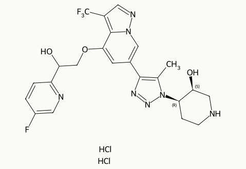 Cc1c(-c2cc(OCC(O)c3ccc(F)cn3)c3c(C(F)(F)F)cnn3c2)nnn1[C@@H]1CCNC[C@@H]1O.Cl.Cl